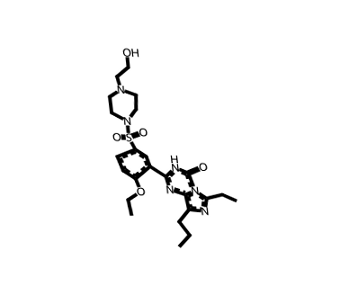 CCCc1nc(CC)n2c(=O)[nH]c(-c3cc(S(=O)(=O)N4CCN(CCO)CC4)ccc3OCC)nc12